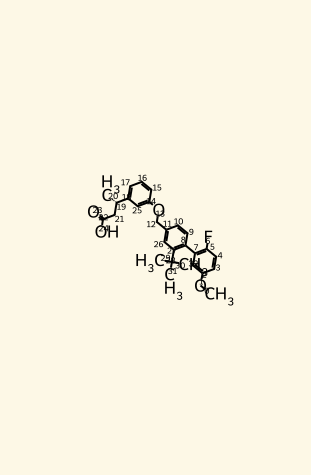 COc1ccc(F)c(-c2ccc(COc3cccc([C@@H](C)CC(=O)O)c3)cc2C(C)(C)C)c1